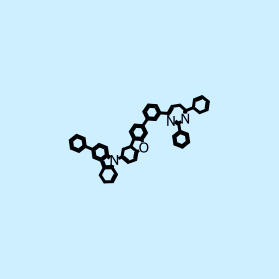 C1=CCC(C2=NC(c3ccccc3)=NC(c3cccc(-c4ccc5c(c4)OC4=CC=C(n6c7c(c8cc(-c9ccccc9)ccc86)CCC=C7)CC45)c3)=CC2)C=C1